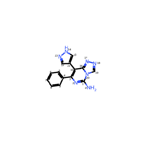 Nc1nc(-c2ccccc2)c(-c2cn[nH]c2)c2nncn12